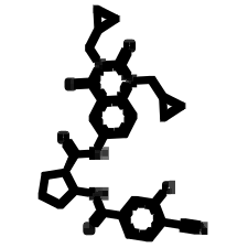 N#Cc1ccc(C(=O)NC2CCC[C@H]2C(=O)Nc2ccc3c(c2)c(=O)n(CC2CC2)c(=O)n3CC2CC2)cc1Cl